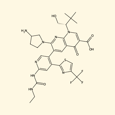 CCNC(=O)Nc1cc(-c2nc(C(F)(F)F)cs2)c(-c2cc3c(=O)c(C(=O)O)cn([C@H](CO)C(C)(C)C)c3nc2N2CCC(N)C2)cn1